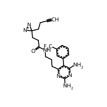 C#CCCC1(CCC(=O)NCCCc2nc(N)nc(N)c2-c2cccc(C(F)(F)F)c2)N=N1